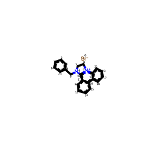 [Br-].c1ccc(CN2CC[n+]3c2c2ccccc2c2ccccc23)cc1